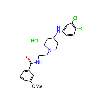 COc1cccc(C(=O)NCCN2CCC(Nc3ccc(Cl)c(Cl)c3)CC2)c1.Cl